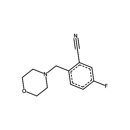 N#Cc1cc(F)ccc1CN1CCOCC1